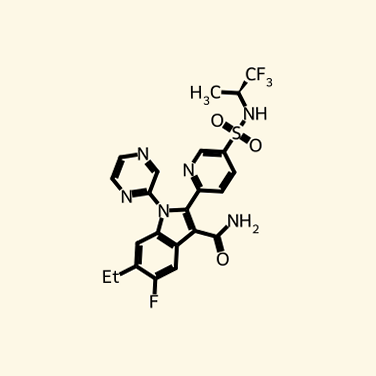 CCc1cc2c(cc1F)c(C(N)=O)c(-c1ccc(S(=O)(=O)N[C@@H](C)C(F)(F)F)cn1)n2-c1cnccn1